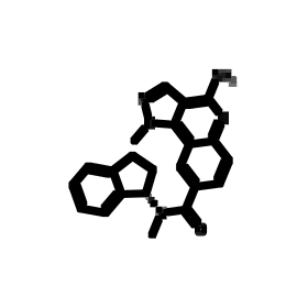 CN(C(=O)c1ccc2nc(N)c3cnn(C)c3c2c1)[C@H]1CCc2ccccc21